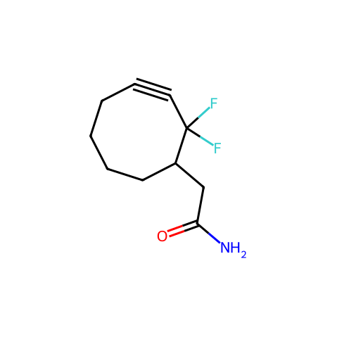 NC(=O)CC1CCCCC#CC1(F)F